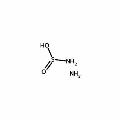 N.NS(=O)O